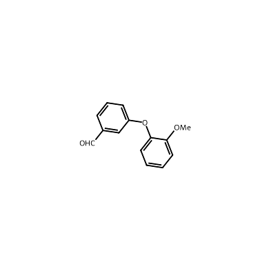 COc1ccccc1Oc1cccc(C=O)c1